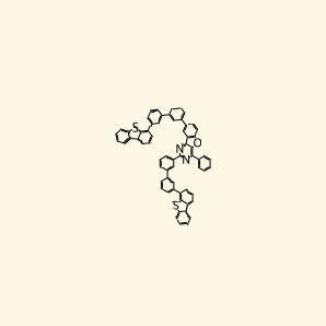 c1ccc(-c2nc(-c3cccc(-c4cccc(-c5cccc6c5sc5ccccc56)c4)c3)nc3c2oc2ccc(-c4cccc(-c5cccc(-c6cccc7c6sc6ccccc67)c5)c4)cc23)cc1